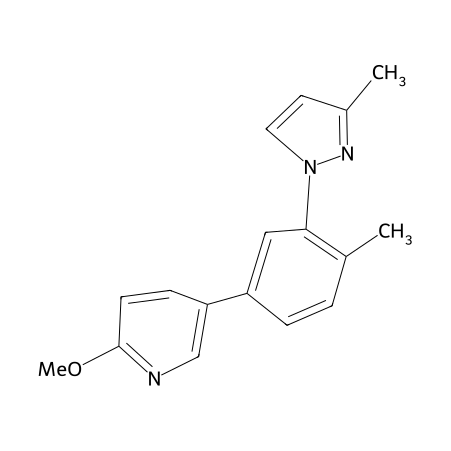 COc1ccc(-c2ccc(C)c(-n3ccc(C)n3)c2)cn1